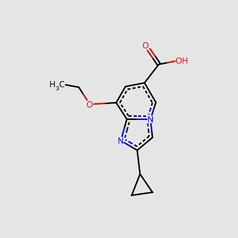 CCOc1cc(C(=O)O)cn2cc(C3CC3)nc12